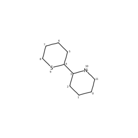 C1CCC(C2CCCCS2)[N]C1